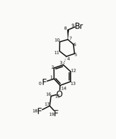 Fc1cc([C@H]2CC[C@H](CBr)CC2)ccc1OCC(F)F